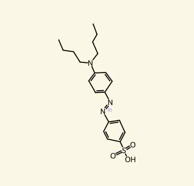 CCCCN(CCCC)c1ccc(/N=N/c2ccc(S(=O)(=O)O)cc2)cc1